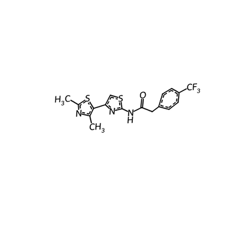 Cc1nc(C)c(-c2csc(NC(=O)Cc3ccc(C(F)(F)F)cc3)n2)s1